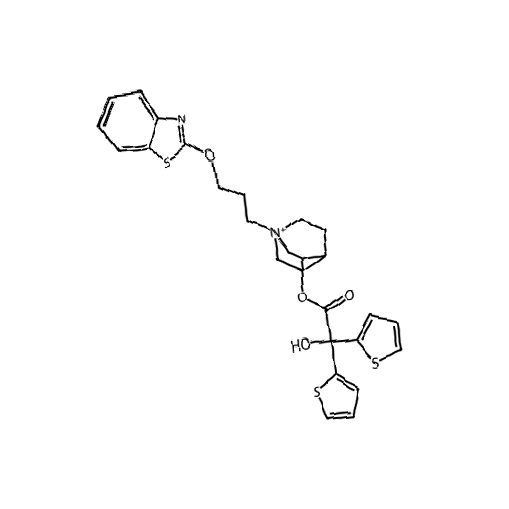 O=C(OC1C[N+]2(CCCOc3nc4ccccc4s3)CCC1CC2)C(O)(c1cccs1)c1cccs1